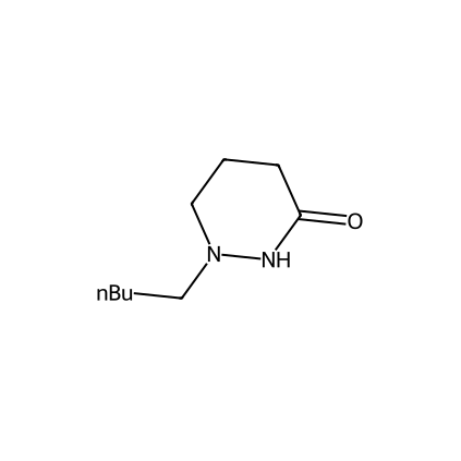 CCCCCN1CCCC(=O)N1